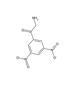 NCC(=O)c1cc([N+](=O)[O-])cc([N+](=O)[O-])c1